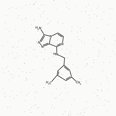 Cc1cc(C)cc(CNc2nccn3c(N)nnc23)c1